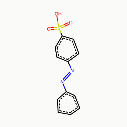 O=S(=O)(O)c1ccc(N=Nc2cc[c]cc2)cc1